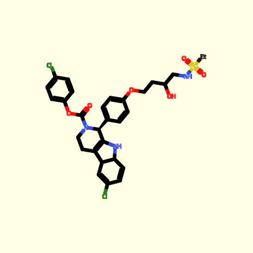 CCS(=O)(=O)NCC(O)CCOc1ccc([C@H]2C3=C(CCN2C(=O)Oc2ccc(Cl)cc2)C2C=C(Cl)C=CC2N3)cc1